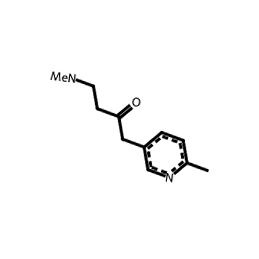 CNCCC(=O)Cc1ccc(C)nc1